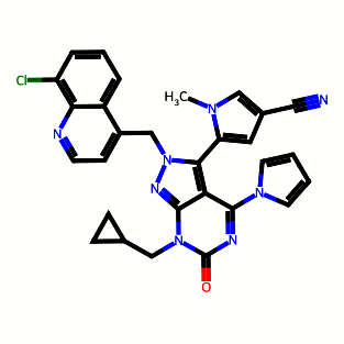 Cn1cc(C#N)cc1-c1c2c(-n3cccc3)nc(=O)n(CC3CC3)c2nn1Cc1ccnc2c(Cl)cccc12